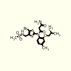 Cc1ccc(N(C(=O)CC(N)=O)c2nc(CNS(C)(=O)=O)c(Br)s2)c(OCC(C)C)c1